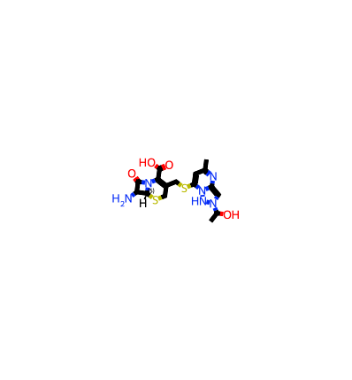 CC1=NC2=CN(C(C)O)NN2C(SCC2=C(C(=O)O)N3C(=O)C(N)[C@@H]3SC2)=C1